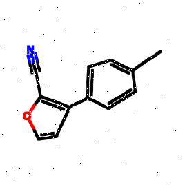 Cc1ccc(-c2ccoc2C#N)cc1